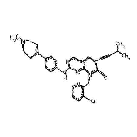 CC(C)C#Cc1cc2cnc(Nc3ccc(N4CCN(C)CC4)cc3)nc2n(Cc2ncccc2Cl)c1=O